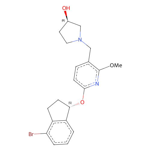 COc1nc(O[C@H]2CCc3c(Br)cccc32)ccc1CN1CC[C@@H](O)C1